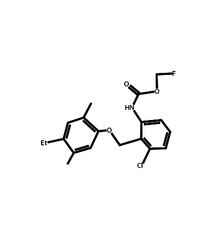 CCc1cc(C)c(OCc2c(Cl)cccc2NC(=O)OCF)cc1C